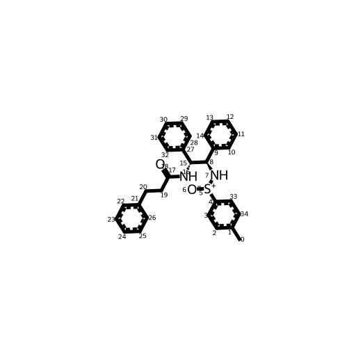 Cc1ccc([S+]([O-])N[C@H](c2ccccc2)[C@H](NC(=O)CCc2ccccc2)c2ccccc2)cc1